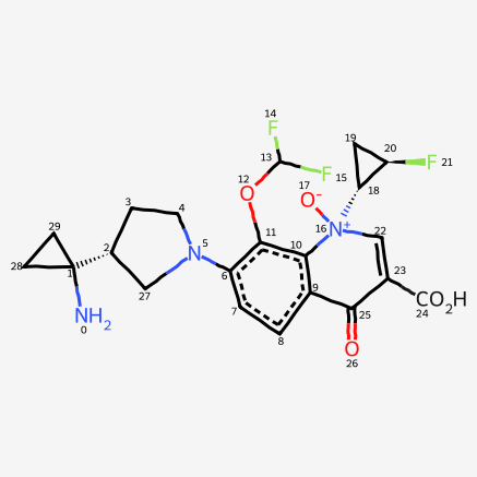 NC1([C@@H]2CCN(c3ccc4c(c3OC(F)F)[N+]([O-])([C@@H]3C[C@H]3F)C=C(C(=O)O)C4=O)C2)CC1